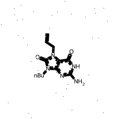 C=CCn1c(=O)n(CCCC)c2nc(N)[nH]c(=O)c21